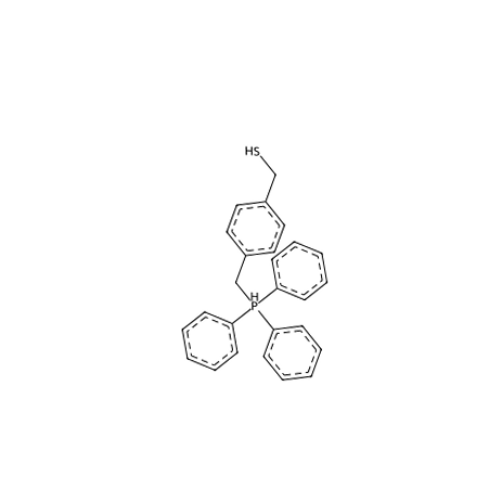 SCc1ccc(C[PH](c2ccccc2)(c2ccccc2)c2ccccc2)cc1